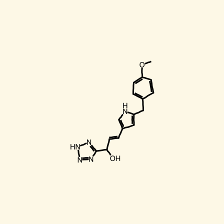 COc1ccc(Cc2cc(C=CC(O)c3nn[nH]n3)c[nH]2)cc1